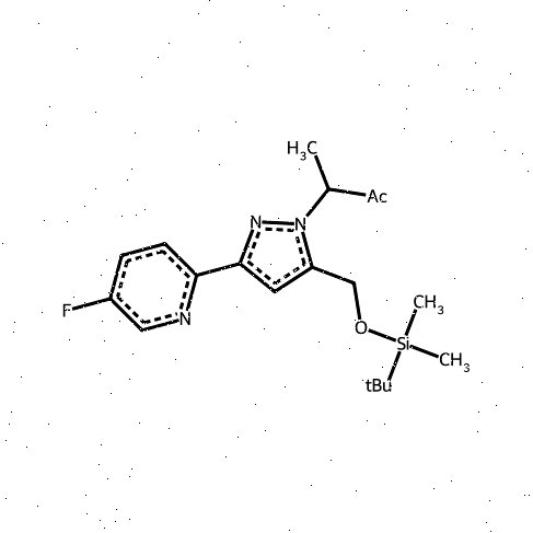 CC(=O)C(C)n1nc(-c2ccc(F)cn2)cc1CO[Si](C)(C)C(C)(C)C